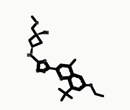 CCOc1cc(C(C)(C)C)c2nc(-c3nnc(N[C@H]4C[C@](O)(COC)C4)o3)cc(C)c2c1